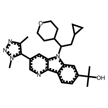 Cc1nnn(C)c1-c1cnc2c3ccc(C(C)(C)O)cc3n(C(CC3CC3)C3CCOCC3)c2c1